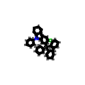 Clc1cc2c3ccccc3n(-c3ccccc3)c2cc1[Si](c1ccccc1)(c1ccccc1)c1ccccc1